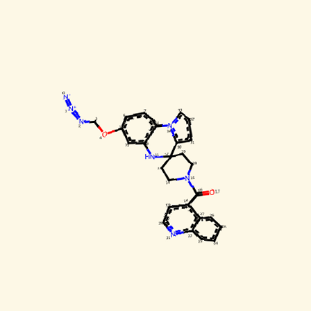 [N-]=[N+]=NCOc1ccc2c(c1)NC1(CCN(C(=O)c3ccnc4ccccc34)CC1)c1cccn1-2